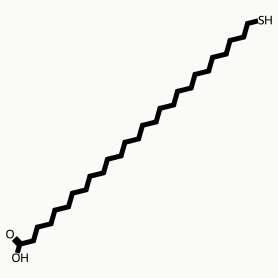 O=C(O)CCCCCCCCCCCCCCCCCCCCCCCCCCS